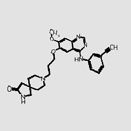 C#Cc1cccc(Nc2ncnc3cc(OC)c(OCCCN4CCC5(CC4)CNC(=O)C5)cc23)c1